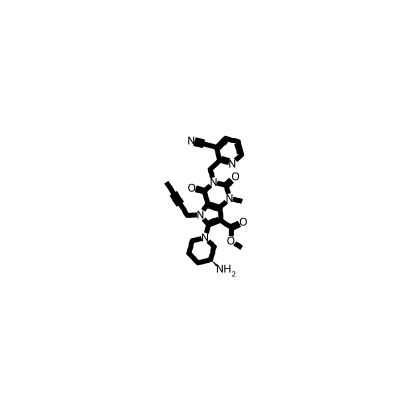 CC#CCn1c(N2CCC[C@@H](N)C2)c(C(=O)OC)c2c1c(=O)n(Cc1ncccc1C#N)c(=O)n2C